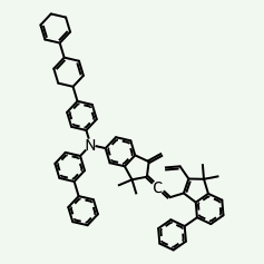 C=CC1=C(C=C=C2C(=C)c3ccc(N(c4ccc(C5C=CC(C6=CCCC=C6)=CC5)cc4)c4cccc(-c5ccccc5)c4)cc3C2(C)C)c2c(-c3ccccc3)cccc2C1(C)C